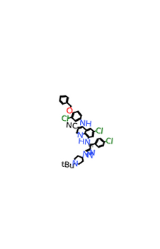 CC(C)(C)N1CCC(n2cc([C@@H](Nc3cc(Cl)cc4c(Nc5ccc(OCc6ccccc6)c(Cl)c5)c(C#N)cnc34)c3ccc(Cl)cc3)nn2)CC1